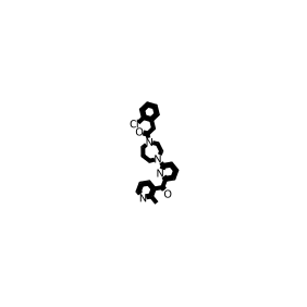 Cc1ncccc1C(=O)c1cccc(N2CCCN(C(=O)Cc3ccccc3Cl)CC2)n1